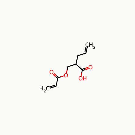 C=CCC(COC(=O)C=C)C(=O)O